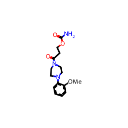 COc1ccccc1N1CCN(C(=O)CCOC(N)=O)CC1